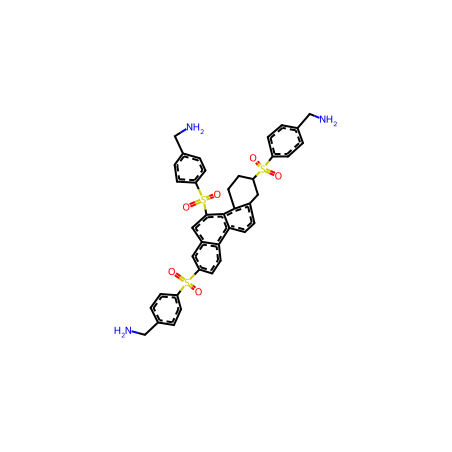 NCc1ccc(S(=O)(=O)c2ccc3c(c2)cc(S(=O)(=O)c2ccc(CN)cc2)c2c4c(ccc23)CC(S(=O)(=O)c2ccc(CN)cc2)CC4)cc1